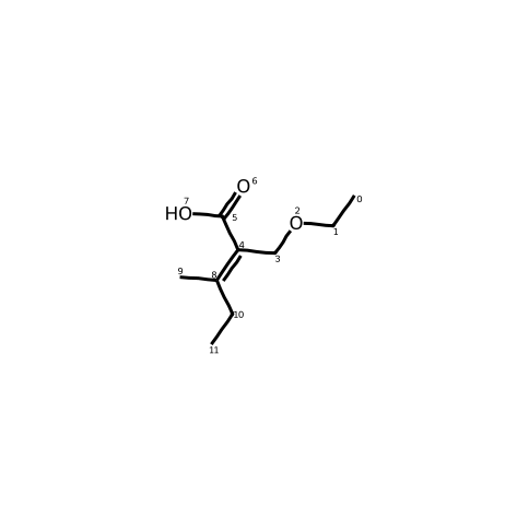 CCOCC(C(=O)O)=C(C)CC